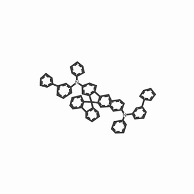 c1ccc(-c2cccc(N(c3ccccc3)c3ccc4c(c3)C3(c5ccccc5-c5ccccc53)c3cc5cc(N(c6ccccc6)c6cccc(-c7ccccc7)c6)ccc5cc3-4)c2)cc1